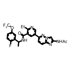 CCc1ncc(-c2ccc3nc(NC(C)=O)cn3n2)cc1C(=O)NC(C)c1cc(OC(F)(F)F)ccc1F